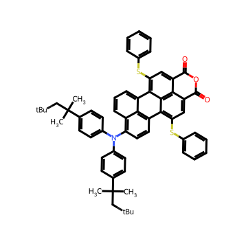 CC(C)(C)CC(C)(C)c1ccc(N(c2ccc(C(C)(C)CC(C)(C)C)cc2)c2ccc3c4c(Sc5ccccc5)cc5c6c(cc(Sc7ccccc7)c(c7cccc2c73)c64)C(=O)OC5=O)cc1